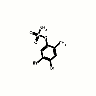 Cc1cc(Br)c(C(C)C)cc1OS(N)(=O)=O